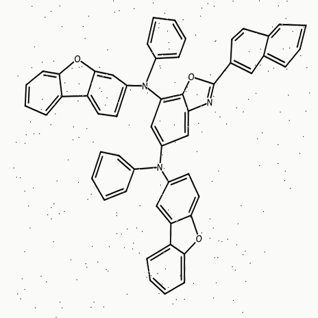 c1ccc(N(c2cc(N(c3ccccc3)c3ccc4c(c3)oc3ccccc34)c3oc(-c4ccc5ccccc5c4)nc3c2)c2ccc3oc4ccccc4c3c2)cc1